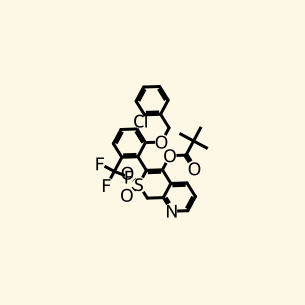 CC(C)(C)C(=O)OC1=C(c2c(C(F)(F)F)ccc(Cl)c2OCc2ccccc2)S(=O)(=O)Cc2ncccc21